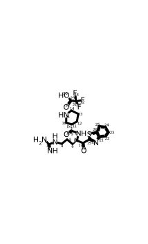 N=C(N)NCCC[C@@H](NC(=O)[C@H]1CCCNC1)C(=O)c1nc2ccccc2s1.O=C(O)C(F)(F)F